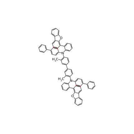 Cc1cc(-c2ccc(N(c3ccc(-c4ccccc4)cc3)c3ccccc3-c3cccc4c3oc3ccccc34)c(C)c2)ccc1N(c1ccc(-c2ccccc2)cc1)c1ccccc1-c1cccc2c1oc1ccccc12